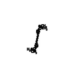 C=C(C)C(=O)OCC1CSC(CSCCCCCCSCC2SCC(COC(=O)C(=C)C)S2)S1